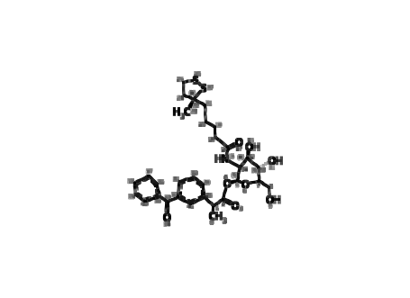 CC(C(=O)O[C@@H]1OC(CO)[C@@H](O)[C@H](O)C1NC(=O)CCCC[C@]1(C)CCSS1)c1cccc(C(=O)c2ccccc2)c1